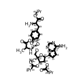 COC(=O)C(C)NP(=O)(OC[C@@]1(C#N)O[C@@H](c2ccc3c(N)ncnn23)[C@H](OC(=O)C(C)C)[C@@H]1OC(=O)C(C)C)Oc1ccc(CC(N)C(=O)OC(C)C)cc1